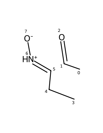 CC=O.CCC=[NH+][O-]